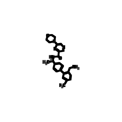 C[C@@H](NC(=O)c1cncc(N2CCOCC2)n1)c1ccc(-c2cc(C(F)(F)F)ccc2CN)cc1